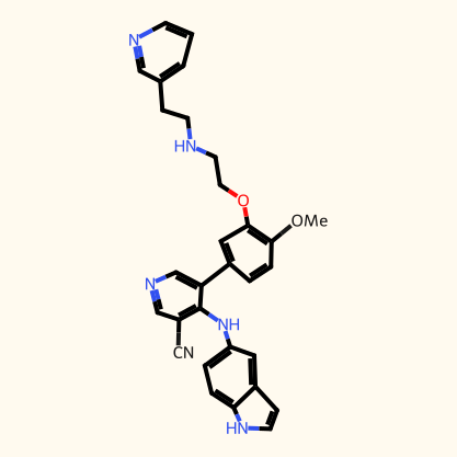 COc1ccc(-c2cncc(C#N)c2Nc2ccc3[nH]ccc3c2)cc1OCCNCCc1cccnc1